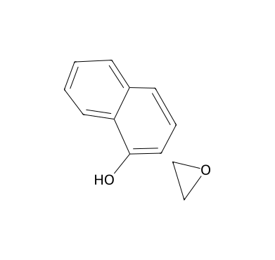 C1CO1.Oc1cccc2ccccc12